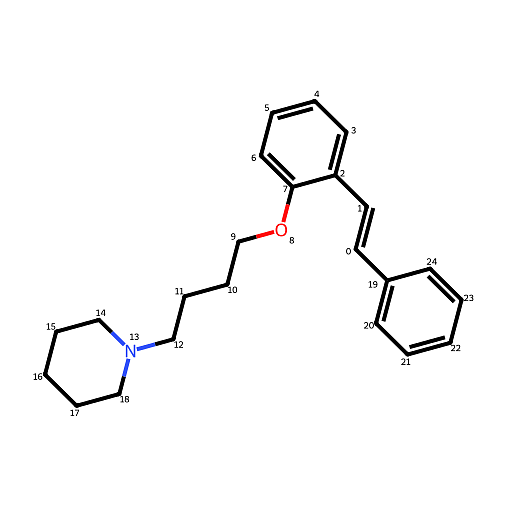 C(=Cc1ccccc1OCCCCN1CCCCC1)c1ccccc1